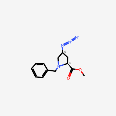 COC(=O)[C@@H]1C[C@H](N=[N+]=[N-])CN1Cc1ccccc1